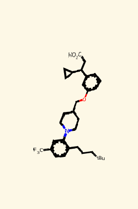 CC(C)(C)CCCc1ccc(C(F)(F)F)cc1N1CCC(COc2cccc(C(CC(=O)O)C3CC3)c2)CC1